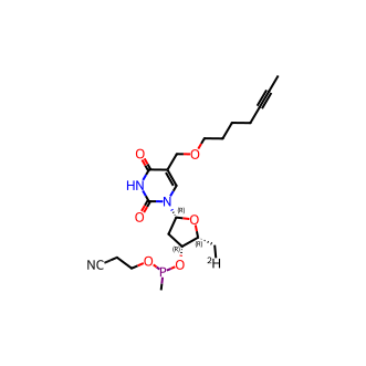 [2H]C[C@H]1O[C@@H](n2cc(COCCCCC#CC)c(=O)[nH]c2=O)C[C@H]1OP(C)OCCC#N